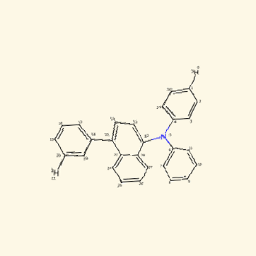 [3H]c1ccc(N(c2ccccc2)c2ccc(-c3cccc([3H])c3)c3ccccc23)cc1